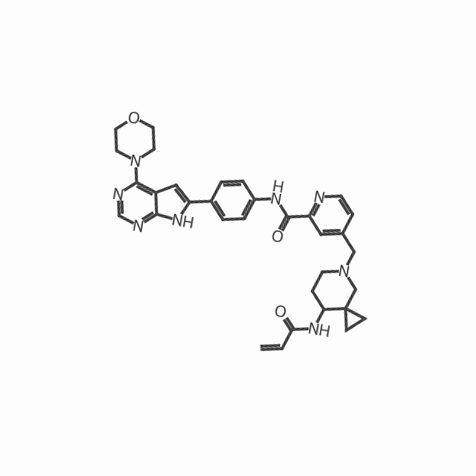 C=CC(=O)NC1CCN(Cc2ccnc(C(=O)Nc3ccc(-c4cc5c(N6CCOCC6)ncnc5[nH]4)cc3)c2)CC12CC2